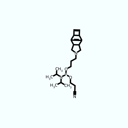 CC(C)N(C(C)C)P(OCCC#N)OCCCN1CC2C3C=CC(C4C=CC43)C2C1